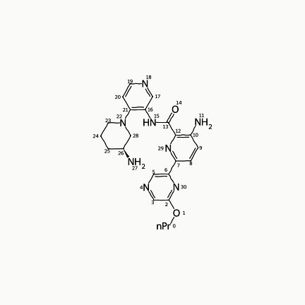 CCCOc1cncc(-c2ccc(N)c(C(=O)Nc3cnccc3N3CCC[C@H](N)C3)n2)n1